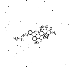 COc1ccc(CNCC(N)=O)cc1-c1ccc(O)c2c1C[C@H]1C[C@H]3[C@H](N(C)C)C(O)=C(C(N)=O)C(=O)[C@@]3(O)C(O)=C1C2=O